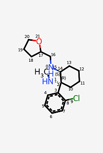 CN[C@@]1(c2ccccc2Cl)CCCC[C@@H]1NCC1CCCO1